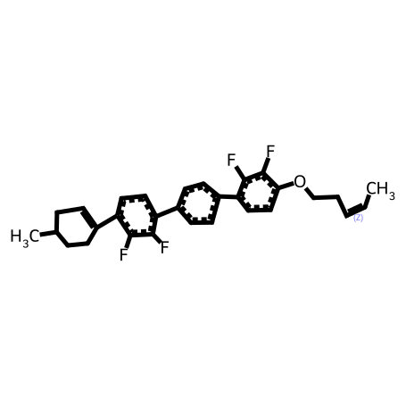 C/C=C\CCOc1ccc(-c2ccc(-c3ccc(C4=CCC(C)CC4)c(F)c3F)cc2)c(F)c1F